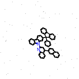 c1ccc(C2(c3ccc4c5ccccc5n(-c5cc(-c6ccc7ccccc7c6)c6ccccc6n5)c4c3)c3ccccc3-c3ccccc32)cc1